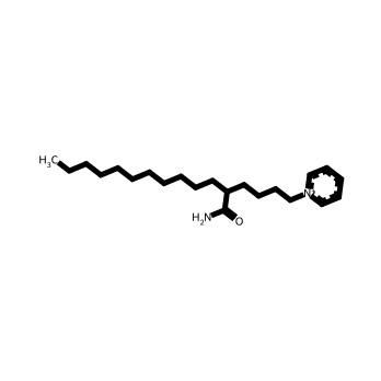 CCCCCCCCCCCC(CCCC[n+]1ccccc1)C(N)=O